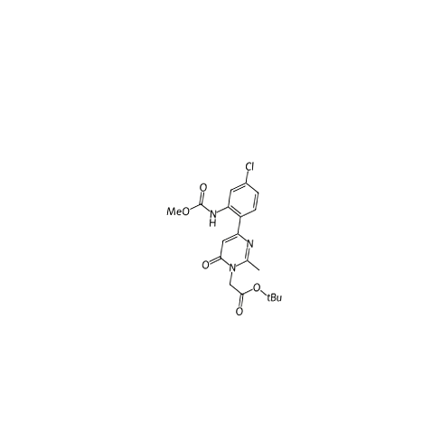 COC(=O)Nc1cc(Cl)ccc1-c1cc(=O)n(CC(=O)OC(C)(C)C)c(C)n1